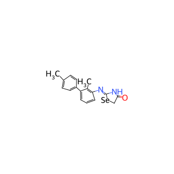 Cc1ccc(-c2cccc(N=C3NC(=O)C[Se]3)c2C)cc1